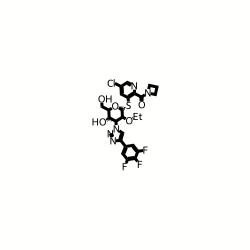 CCOC1C(n2cc(-c3cc(F)c(F)c(F)c3)nn2)[C@@H](O)C(CO)O[C@@H]1Sc1cc(Cl)cnc1C(=O)N1CCC1